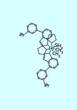 CC(C)c1cccc(-c2cccc3c2C=C[CH]3[Hf]([CH3])([CH3])(=[SiH2])([CH]2CCCC2)([CH]2CCCC2)[CH]2C=Cc3c(-c4cccc(C(C)C)c4)cccc32)c1